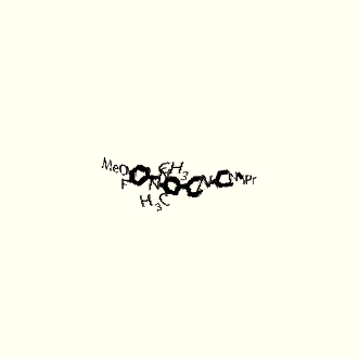 COc1ccc(-c2nc3c(C)cc(C4CCN(C5CCN(CC(C)C)CC5)CC4)cc3n2C)cc1F